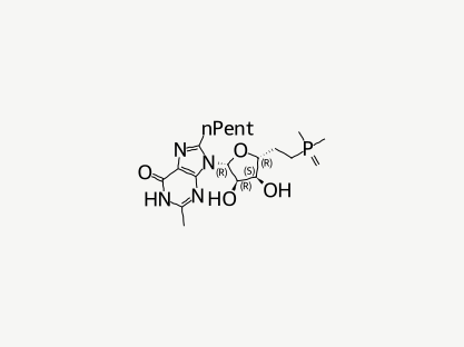 C=P(C)(C)CC[C@H]1O[C@@H](n2c(CCCCC)nc3c(=O)[nH]c(C)nc32)[C@H](O)[C@@H]1O